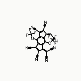 N#C/C=C1/C(C#N)=C(C#N)c2c(OC(F)(F)F)c3c(c(OC(F)(F)F)c21)C(=C(C#N)C#N)C(C#N)=C3C#N